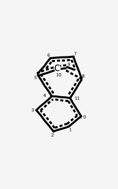 [c]1cccc2c3ccc(cc3)c12